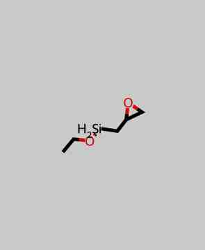 CCO[SiH2]CC1CO1